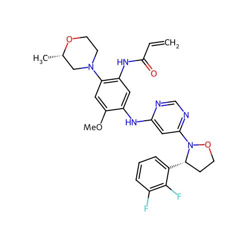 C=CC(=O)Nc1cc(Nc2cc(N3OCC[C@@H]3c3cccc(F)c3F)ncn2)c(OC)cc1N1CCO[C@@H](C)C1